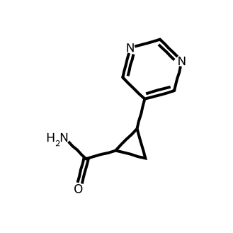 NC(=O)C1CC1c1cncnc1